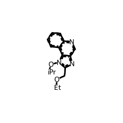 CCOCc1nc2cnc3ccccc3c2n1OC(C)C